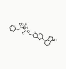 O=C(NC(Cc1ccccc1)C(=O)O)OCc1cc2cc(-c3cccc4[nH]ccc34)ccc2o1